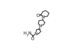 NC(=O)N1C[CH][C@H](N2CCC(N3CCCCC3=O)CC2)C1